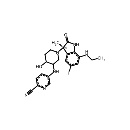 CCNc1cc(F)cc2c1NC(=O)[C@@]2(C)N1CCC(O)C(Nc2ccc(C#N)nc2)C1